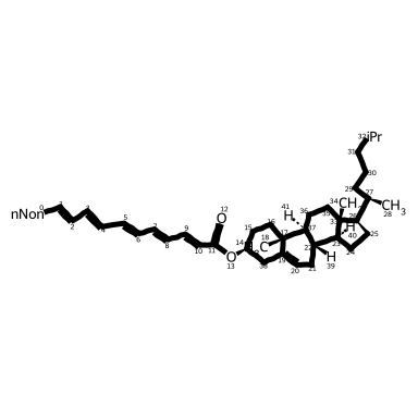 CCCCCCCCC/C=C/C=C/C=C/C=C/C=C/C(=O)O[C@H]1CC[C@@]2(C)C(=CC[C@H]3[C@@H]4CC[C@H]([C@H](C)CCCC(C)C)[C@@]4(C)CC[C@@H]32)C1